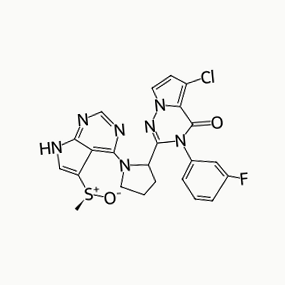 C[S@+]([O-])c1c[nH]c2ncnc(N3CCCC3c3nn4ccc(Cl)c4c(=O)n3-c3cccc(F)c3)c12